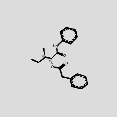 CC[C@@H](C)[C@@H](OC(=O)Cc1ccccc1)C(=O)Nc1ccccc1